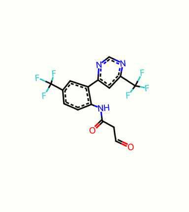 O=CCC(=O)Nc1ccc(C(F)(F)F)cc1-c1cc(C(F)(F)F)ncn1